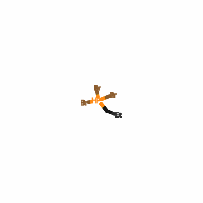 CCC[PH](Br)(Br)Br